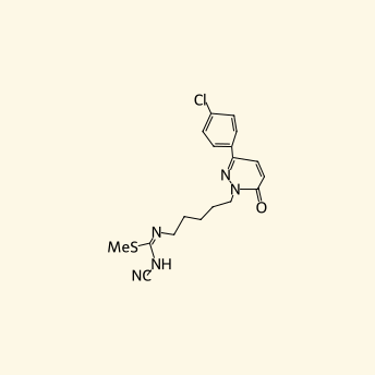 CSC(=NCCCCCn1nc(-c2ccc(Cl)cc2)ccc1=O)NC#N